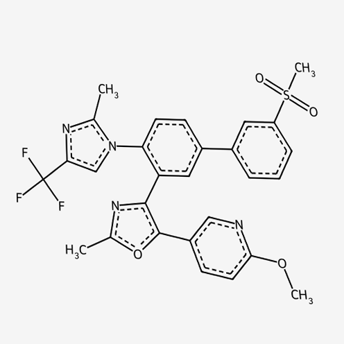 COc1ccc(-c2oc(C)nc2-c2cc(-c3cccc(S(C)(=O)=O)c3)ccc2-n2cc(C(F)(F)F)nc2C)cn1